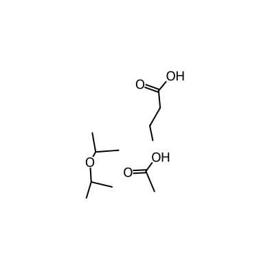 CC(=O)O.CC(C)OC(C)C.CCCC(=O)O